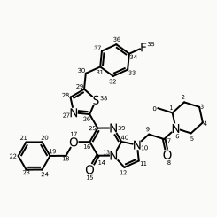 CC1CCCCN1C(=O)Cn1ccn2c(=O)c(OCc3ccccc3)c(-c3ncc(Cc4ccc(F)cc4)s3)nc12